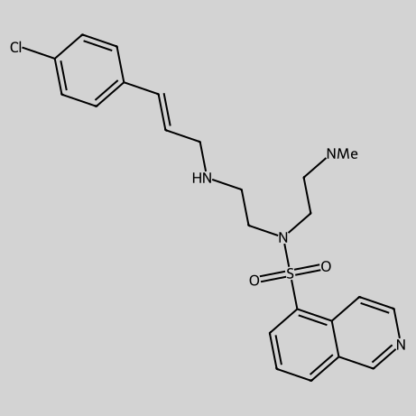 CNCCN(CCNCC=Cc1ccc(Cl)cc1)S(=O)(=O)c1cccc2cnccc12